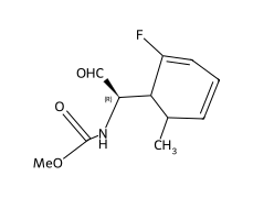 COC(=O)N[C@@H](C=O)C1C(F)=CC=CC1C